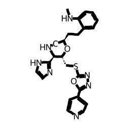 CNc1ccccc1CC[C@@H]1CN[C@H](c2ncc[nH]2)[C@@H](CSc2nnc(-c3ccncc3)o2)O1